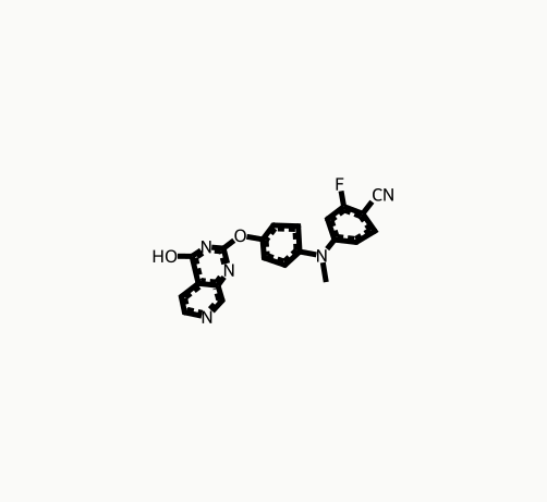 CN(c1ccc(Oc2nc(O)c3ccncc3n2)cc1)c1ccc(C#N)c(F)c1